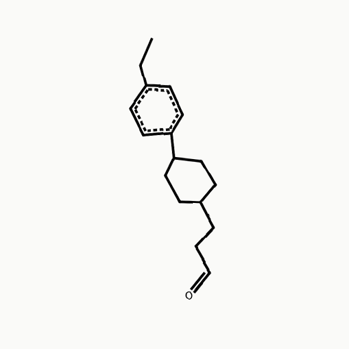 CCc1ccc(C2CCC(CCC=O)CC2)cc1